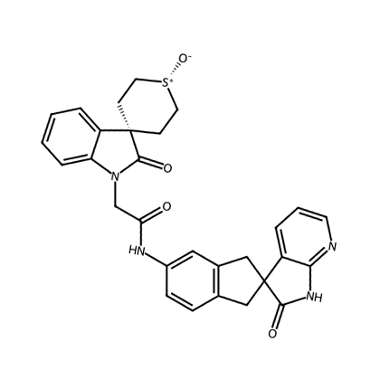 O=C(CN1c2ccccc2[C@]2(CC[S@+]([O-])CC2)C1=O)Nc1ccc2c(c1)CC1(C2)C(=O)Nc2ncccc21